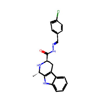 C[C@@H]1N[C@@H](C(=O)NN=Cc2ccc(Cl)cc2)Cc2c1[nH]c1ccccc21